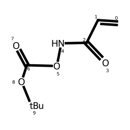 C=CC(=O)NOC(=O)OC(C)(C)C